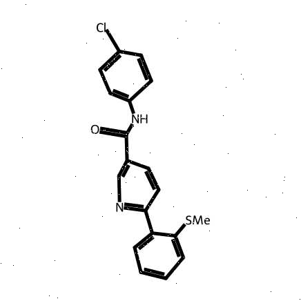 CSc1ccccc1-c1ccc(C(=O)Nc2ccc(Cl)cc2)cn1